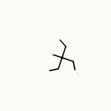 CCCCCCC(N)(CO)CO.Cl